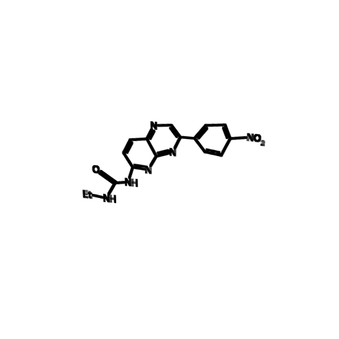 CCNC(=O)Nc1ccc2ncc(-c3ccc([N+](=O)[O-])cc3)nc2n1